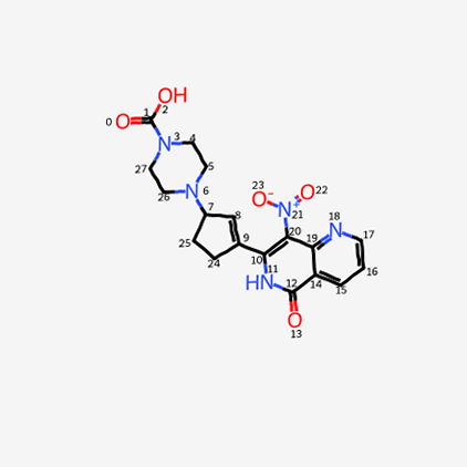 O=C(O)N1CCN(C2C=C(c3[nH]c(=O)c4cccnc4c3[N+](=O)[O-])CC2)CC1